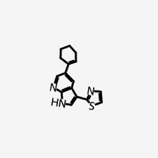 C1=C(c2cnc3[nH]cc(-c4nccs4)c3c2)CCCC1